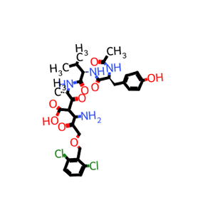 CC(=O)N[C@@H](Cc1ccc(O)cc1)C(=O)N[C@H](C(=O)N[C@@H](C)C(=O)C(C(=O)O)C(N)C(=O)COCc1c(Cl)cccc1Cl)C(C)C